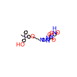 CC/C(=C(\c1ccc(O)cc1)c1ccc(OCCCCCN2CCN(c3ncc4c(n3)C(=O)N(C3CCC(=O)NC3=O)C4=O)CC2)cc1)c1ccccc1